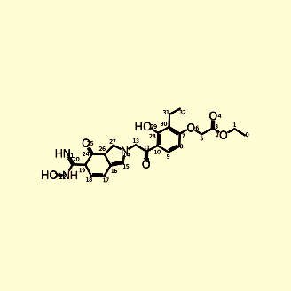 CCOC(=O)COc1ccc(C(=O)CN2C=C3C=CC(C(=N)NO)C(=O)C3C2)c(O)c1CC